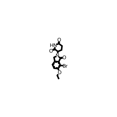 CCOc1ccc2c(c1Br)C(=O)N(C1CCC(=O)NC1=O)C2